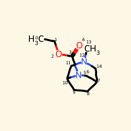 CCOC(=O)N1CC2CCC1CN(C)C2